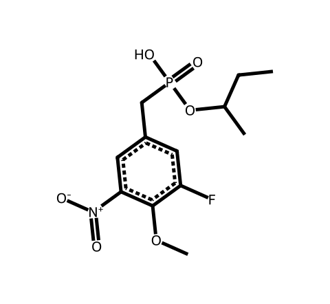 CCC(C)OP(=O)(O)Cc1cc(F)c(OC)c([N+](=O)[O-])c1